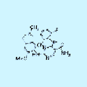 COc1cc2c(cc1Nc1ncc(C(N)=O)c(Nc3c(F)cccc3C#N)n1)CN(C)CC2